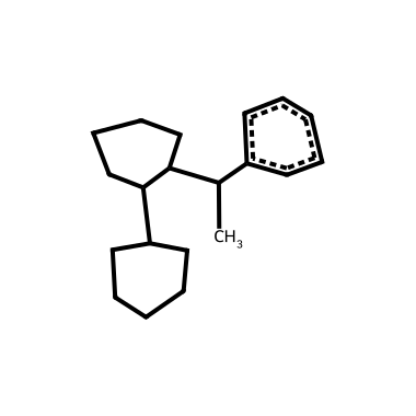 CC(c1ccccc1)C1CCCCC1C1CCCCC1